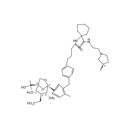 CC(=O)O[C@@H]1[C@@H](CC(=O)O)[C@H](OC(C)=O)[C@]2(C(C)(C)O)CO[C@@]1(c1ccc(C)c(Cc3ccc(CCCC(=O)NC4(C(=O)NCCN5CC[C@@H](F)C5)CCCCC4)cc3)c1)O2